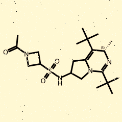 CC(=O)N1CC(S(=O)(=O)NC2CC3=C(C(C)(C)C)[C@H](C)N=C(C(C)(C)C)N3C2)C1